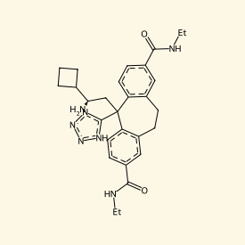 CCNC(=O)c1ccc2c(c1)CCc1cc(C(=O)NCC)ccc1C2(C[C@@H](N)C1CCC1)c1nnn[nH]1